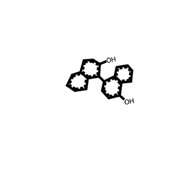 Oc1ccc2ccccc2c1-c1ccc(O)c2ccccc12